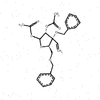 C=C[C@@]1(OCc2ccccc2)[C@@H](COCc2ccccc2)OC(OC(C)=O)[C@@H]1OC(C)=O